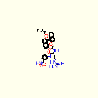 C=CCOc1ccc2ccccc2c1-c1c(OCC(=O)N[C@H](CCCNC(=N)N)C(=O)Nc2cccc(C(=O)NO)c2)ccc2ccccc12